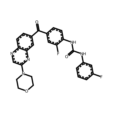 O=C(Nc1cccc(F)c1)Nc1ccc(C(=O)c2ccc3ncc(N4CCOCC4)nc3c2)cc1F